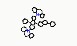 C1=CC2=C(CC1)CCc1ccccc1N2c1ccc2c(-c3ccc4cc(-c5ccccc5)ccc4c3)c3cc(N4c5ccccc5CCc5ccccc54)ccc3c(-c3ccccc3)c2c1